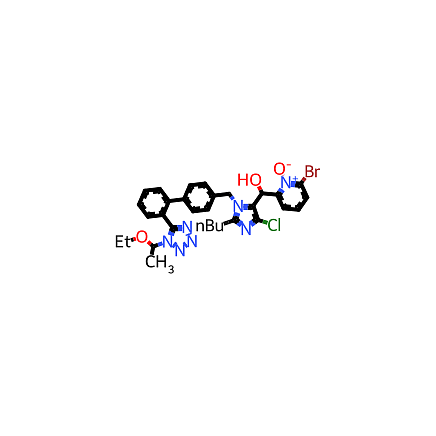 CCCCc1nc(Cl)c(C(O)c2cccc(Br)[n+]2[O-])n1Cc1ccc(-c2ccccc2-c2nnnn2C(C)OCC)cc1